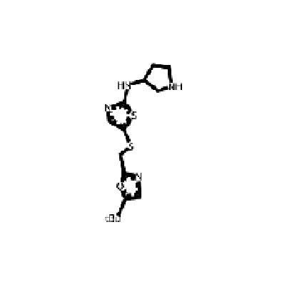 CC(C)(C)c1cnc(CSc2cnc(NC3CCNC3)s2)o1